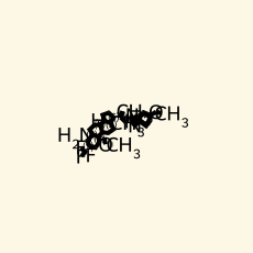 C=C(Cn1nc2ccc(OC)cc2n1)[C@H]1CCC2[C@@H]3CC[C@]4(N)C[C@@H](C(F)(F)F)CC[C@]4(COC)C3CC[C@@]21C